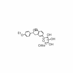 CCOc1ccc(C(O)Cc2cc([C@@H]3O[C@H](OC)[C@@H](O)[C@H](O)[C@H]3O)ccc2Cl)cc1